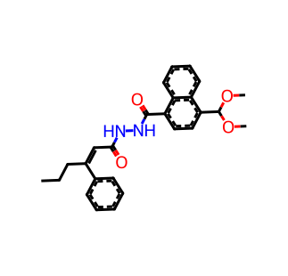 CCCC(=CC(=O)NNC(=O)c1ccc(C(OC)OC)c2ccccc12)c1ccccc1